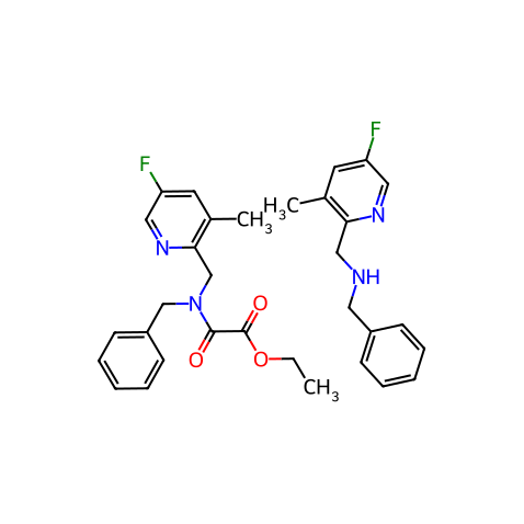 CCOC(=O)C(=O)N(Cc1ccccc1)Cc1ncc(F)cc1C.Cc1cc(F)cnc1CNCc1ccccc1